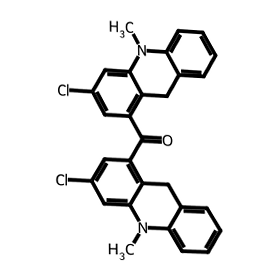 CN1c2ccccc2Cc2c(C(=O)c3cc(Cl)cc4c3Cc3ccccc3N4C)cc(Cl)cc21